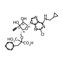 C#C[C@@]1(O)[C@@H](COC(Cc2ccccc2)(C(=O)O)C(=O)O)O[C@@H](n2cnc3c(NCC4CC4)nc(Cl)nc32)[C@@H]1O